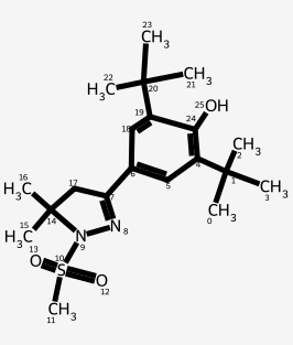 CC(C)(C)c1cc(C2=NN(S(C)(=O)=O)C(C)(C)C2)cc(C(C)(C)C)c1O